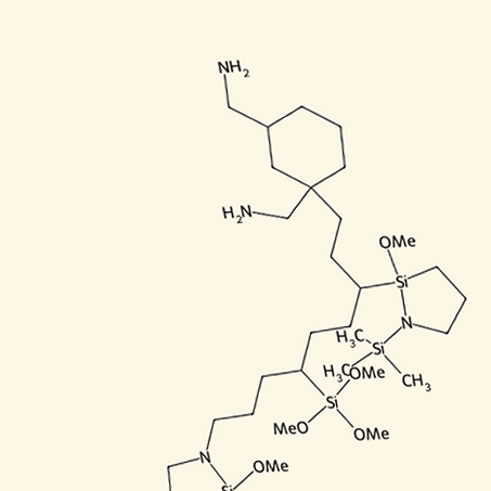 CO[Si](OC)(OC)C(CCCN1CCC[Si]1(OC)OC)CCC(CCC1(CN)CCCC(CN)C1)[Si]1(OC)CCCN1[Si](C)(C)C